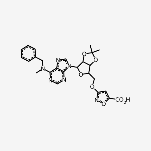 CN(Cc1ccccc1)c1ncnc2c1ncn2C1OC(COc2cc(C(=O)O)on2)C2OC(C)(C)OC21